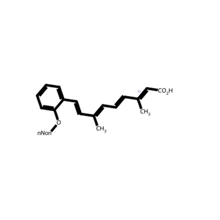 CCCCCCCCCOc1ccccc1C=CC(C)=CC=C/C(C)=C/C(=O)O